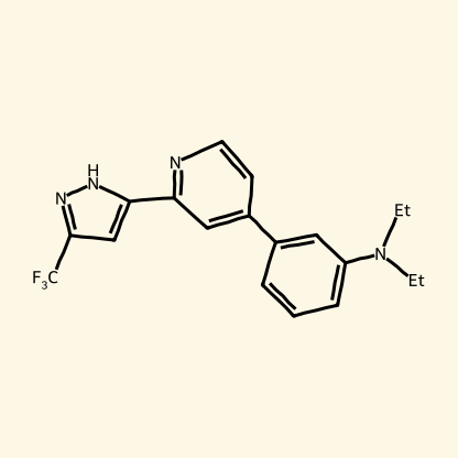 CCN(CC)c1cccc(-c2ccnc(-c3cc(C(F)(F)F)n[nH]3)c2)c1